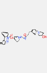 CN(CCN1CCC(OC(=O)Nc2ccccc2-c2ccccc2)CC1)C(=O)CCc1ccc(CN2CCC(O)CC2)cc1